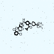 CN(C)C1CCN(c2ccc(Nc3ncc4c(n3)OCN(c3c(Cl)cccc3Cl)C4=O)cc2C(=O)C2CC2)CC1